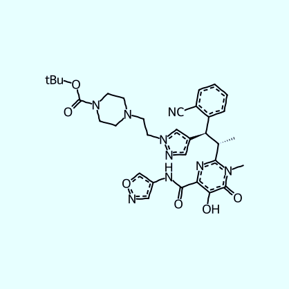 C[C@H](c1nc(C(=O)Nc2cnoc2)c(O)c(=O)n1C)[C@@H](c1cnn(CCN2CCN(C(=O)OC(C)(C)C)CC2)c1)c1ccccc1C#N